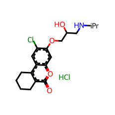 CC(C)NCC(O)COc1cc2oc(=O)c3c(c2cc1Cl)CCCC3.Cl